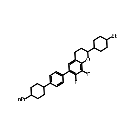 CCCC1CCC(c2ccc(-c3cc4c(c(F)c3F)OC(C3CCC(CC)CC3)CC4)cc2)CC1